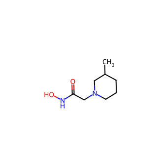 CC1CCCN(CC(=O)NO)C1